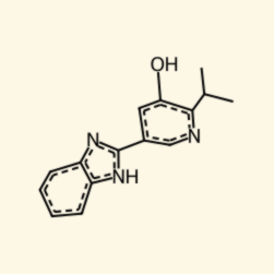 CC(C)c1ncc(-c2nc3ccccc3[nH]2)cc1O